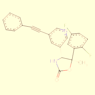 C[C@]1(c2cc(F)ccc2F)OC(=O)N[C@@H]1c1cncc(C#Cc2ccccc2)c1